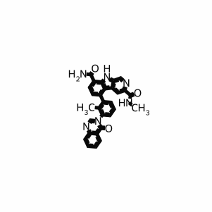 CNC(=O)c1cc2c(cn1)[nH]c1c(C(N)=O)ccc(-c3cccc(-n4cnc5ccccc5c4=O)c3C)c12